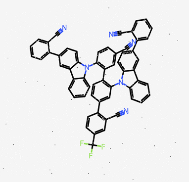 N#Cc1ccc(-n2c3ccccc3c3cc(-c4ccccc4C#N)ccc32)c(-c2ccc(-c3ccc(C(F)(F)F)cc3C#N)cc2-n2c3ccccc3c3cc(-c4ccccc4C#N)ccc32)c1